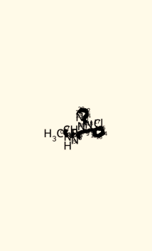 CC(C)Nc1ncc(-c2cc(-c3ccccc3Cl)nc(-c3ccccn3)n2)s1